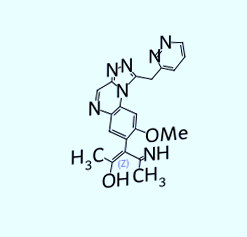 COc1cc2c(cc1/C(C(C)=N)=C(\C)O)ncc1nnc(Cc3cccnn3)n12